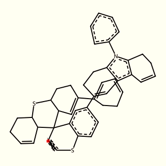 C1=CCCC(C2=CC3C(CC2)SC2CCC=CC2C32c3ccccc3Sc3ccc(C4=Cc5c6c(n(-c7ccccc7)c5CC4)CCC=C6)cc32)=C1